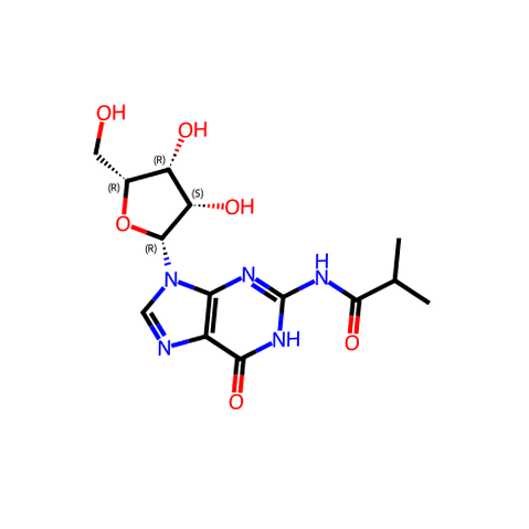 CC(C)C(=O)Nc1nc2c(ncn2[C@@H]2O[C@H](CO)[C@H](O)[C@@H]2O)c(=O)[nH]1